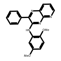 COc1ccc(OC)c(Nc2nc3ncccc3nc2-c2ccccc2)c1